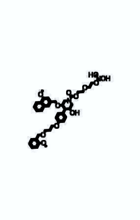 COc1ccccc1COCCCOc1ccc(C2C(O)CN(C(=O)OCCOCCON(O)O)CC2OCc2cc(OC)c3ccccc3c2)cc1